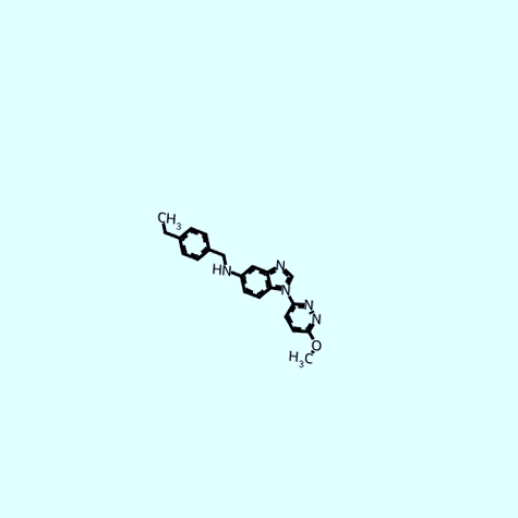 CCc1ccc(CNc2ccc3c(c2)ncn3-c2ccc(OC)nn2)cc1